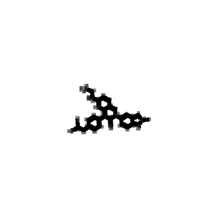 Cn1cc2cc(-n3cc4ccc(NCC(F)(F)F)nc4c(-c4ccc(CC(F)F)cc4)c3=O)ccc2n1